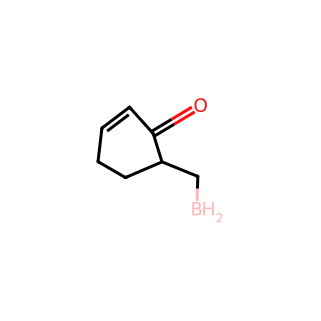 BCC1CCC=CC1=O